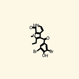 CCc1c(C(=O)c2cc(Br)c(O)c(Br)c2)c2cc[nH]c(=O)c2n1C